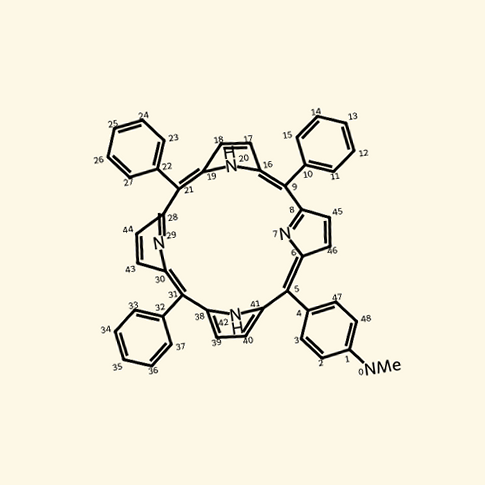 CNc1ccc(-c2c3nc(c(-c4ccccc4)c4ccc([nH]4)c(-c4ccccc4)c4nc(c(-c5ccccc5)c5ccc2[nH]5)C=C4)C=C3)cc1